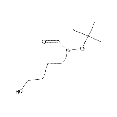 CC(C)(C)ON(C=O)CCCCO